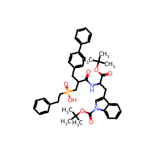 CC(C)(C)OC(=O)C(Cc1cn(C(=O)OC(C)(C)C)c2ccccc12)NC(=O)C(Cc1ccc(-c2ccccc2)cc1)CP(=O)(O)CCc1ccccc1